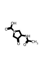 CC(=O)NC1CN(C(=O)O)CC1=O